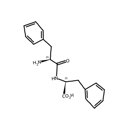 N[C@@H](Cc1ccccc1)C(=O)N[C@@H](Cc1ccccc1)C(=O)O